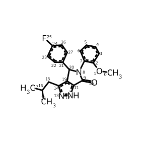 COc1ccccc1N1C(=O)c2[nH]nc(CC(C)C)c2C1c1ccc(F)cc1